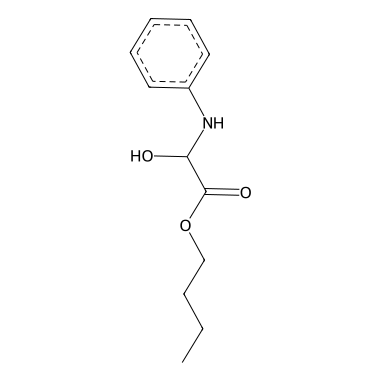 CCCCOC(=O)C(O)Nc1ccccc1